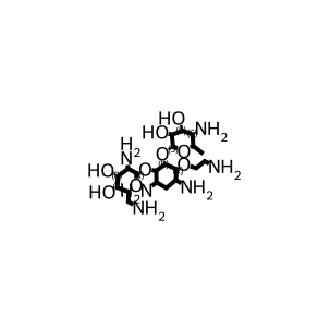 CC1O[C@@H](O[C@H]2C(O[C@H]3OC(CN)[C@@H](O)[C@H](O)C3N)C(N)CC(N)[C@H]2OCCN)C(O)[C@@H](O)[C@@H]1N